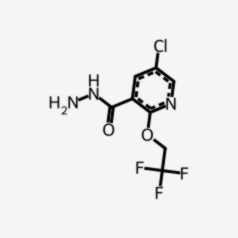 NNC(=O)c1cc(Cl)cnc1OCC(F)(F)F